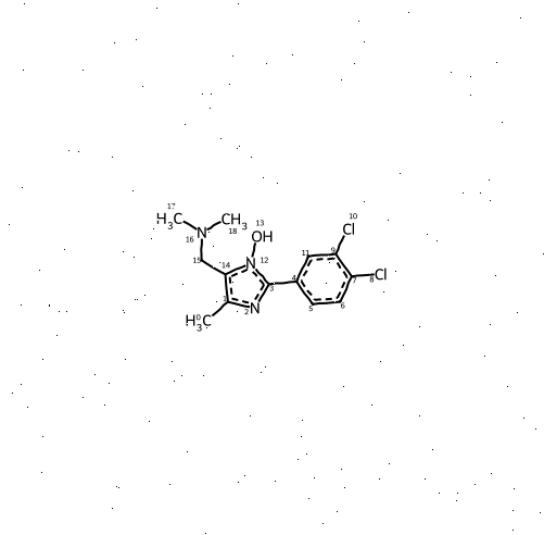 Cc1nc(-c2ccc(Cl)c(Cl)c2)n(O)c1CN(C)C